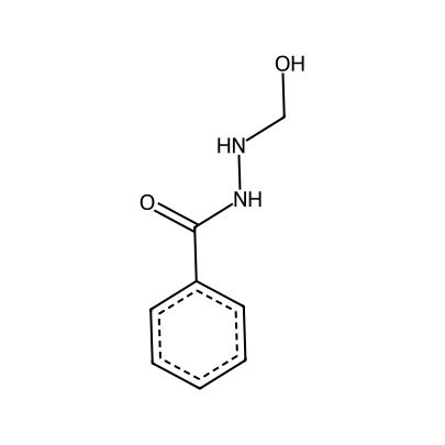 O=C(NNCO)c1ccccc1